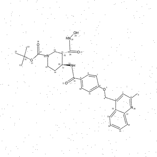 Cc1cc(COc2ccc(C(=O)N[C@H]3CCN(C(=O)OC(C)(C)C)C[C@@H]3C(=O)NO)cc2)c2ccccc2n1